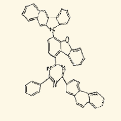 c1ccc(-c2nc(-c3ccc4c(ccc5ccccc54)c3)nc(-c3ccc(-n4c5ccccc5c5cc6ccccc6cc54)c4oc5ccccc5c34)n2)cc1